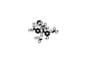 CC(=O)O.COC(=O)COc1cc(OC)cc([C@H](Nc2ccc(C(=N)N)cc2)c2nn(-c3ncccn3)c(=O)[nH]2)c1F